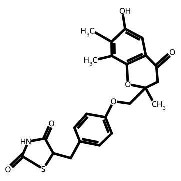 Cc1c(O)cc2c(c1C)OC(C)(COc1ccc(CC3SC(=O)NC3=O)cc1)CC2=O